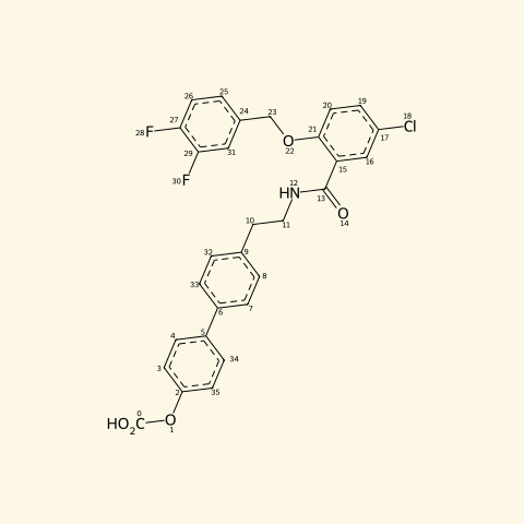 O=C(O)Oc1ccc(-c2ccc(CCNC(=O)c3cc(Cl)ccc3OCc3ccc(F)c(F)c3)cc2)cc1